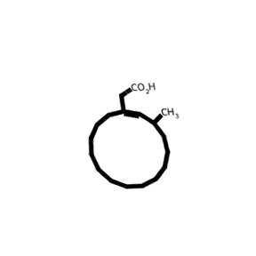 CC1C=C(CC(=O)O)CCCCCCCCCCCC1